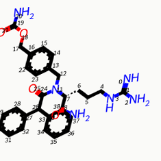 N=C(N)NCCC[C@H](C(N)=O)N(Cc1ccc(COC(N)=O)cc1)C(=O)C(c1ccccc1)c1ccccc1